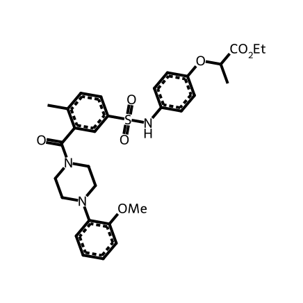 CCOC(=O)C(C)Oc1ccc(NS(=O)(=O)c2ccc(C)c(C(=O)N3CCN(c4ccccc4OC)CC3)c2)cc1